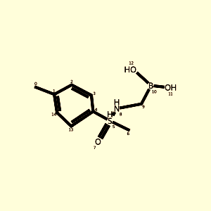 Cc1ccc([SH](C)(=O)NCB(O)O)cc1